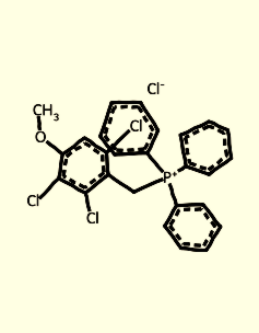 COc1cc(Cl)c(C[P+](c2ccccc2)(c2ccccc2)c2ccccc2)c(Cl)c1Cl.[Cl-]